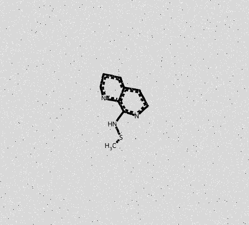 CSNc1nccc2cccnc12